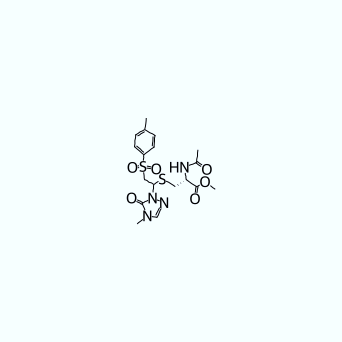 COC(=O)[C@H](CSC(CS(=O)(=O)c1ccc(C)cc1)n1ncn(C)c1=O)NC(C)=O